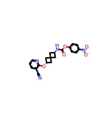 N#Cc1cccnc1O[C@H]1CC2(C[C@H](NC(=O)Oc3ccc([N+](=O)[O-])cc3)C2)C1